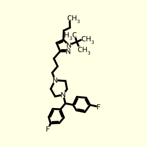 CCCc1cc(CCCN2CCN(C(c3ccc(F)cc3)c3ccc(F)cc3)CC2)nn1C(C)(C)C